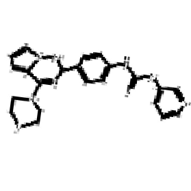 S=C(Nc1ccc(C2N=C(N3CCOCC3)c3cccn3N2)cc1)Nc1cccnc1